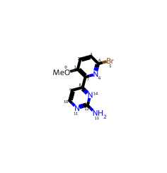 COc1ccc(Br)nc1-c1ccnc(N)n1